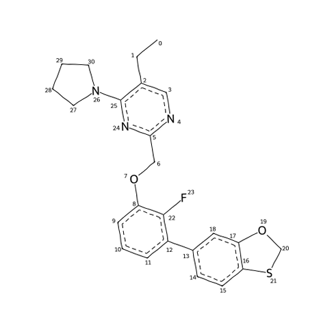 CCc1cnc(COc2cccc(-c3ccc4c(c3)OCS4)c2F)nc1N1CCCC1